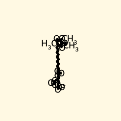 COC1=C(OC)C(=O)C(CCCCCCCCCCOC(=O)OCC(CO[N+](=O)[O-])O[N+](=O)[O-])=C(C)C1=O